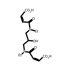 CCN(CC(O)CN(CC)C(=O)/C=C\C(=O)O)C(=O)/C=C\C(=O)O